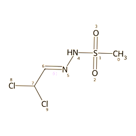 CS(=O)(=O)N/N=C/C(Cl)Cl